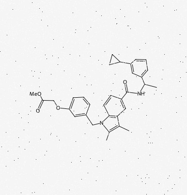 COC(=O)COc1cccc(Cn2c(C)c(C)c3cc(C(=O)NC(C)c4cccc(C5CC5)c4)ccc32)c1